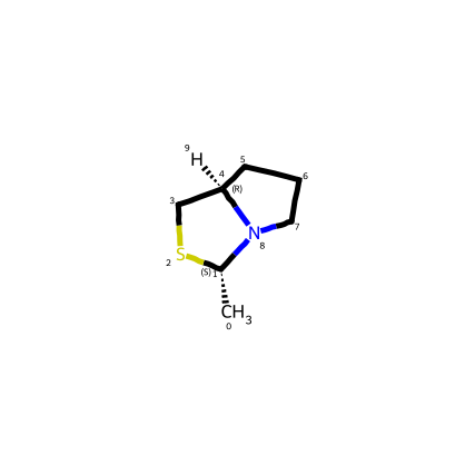 C[C@@H]1SC[C@H]2CCCN21